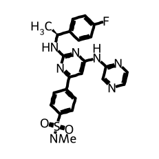 CNS(=O)(=O)c1ccc(-c2cc(Nc3cnccn3)nc(N[C@@H](C)c3ccc(F)cc3)n2)cc1